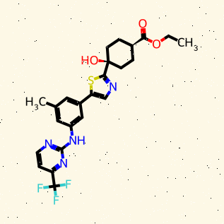 CCOC(=O)[C@H]1CC[C@](O)(c2ncc(-c3cc(C)cc(Nc4nccc(C(F)(F)F)n4)c3)s2)CC1